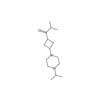 CC(C)C(=O)C1CC(N2CCN(C(C)C)CC2)C1